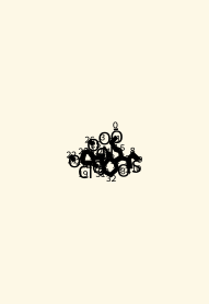 COC(=O)c1cc(-c2ccsc2)c2c(n1)[C@@]1(Oc3c(Cl)c(OC)cc(OC)c3C1=O)[C@H](C)CC2=O